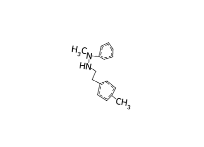 Cc1ccc(CCNN(C)c2ccccc2)cc1